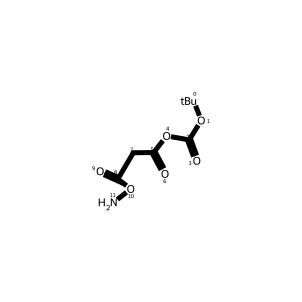 CC(C)(C)OC(=O)OC(=O)CC(=O)ON